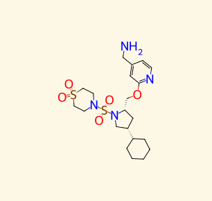 NCc1ccnc(OC[C@@H]2C[C@H](C3CCCCC3)CN2S(=O)(=O)N2CCS(=O)(=O)CC2)c1